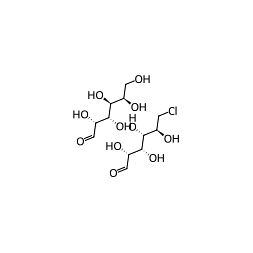 O=C[C@H](O)[C@@H](O)[C@@H](O)[C@H](O)CO.O=C[C@H](O)[C@@H](O)[C@H](O)[C@H](O)CCl